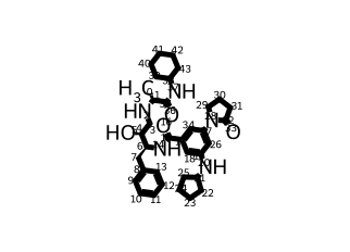 C[C@H](NC[C@H](O)[C@H](Cc1ccccc1)NC(=O)c1cc(NC2CCCC2)cc(N2CCCC2=O)c1)C(=O)NC1CCCCC1